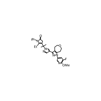 CCC1=C(C(C)(C)n2cc(-c3nn(-c4cnc(OC)c(F)c4)c4c3CCOCC4)cn2)CC(=O)N1C(C)C